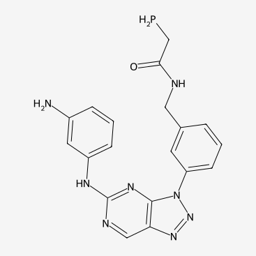 Nc1cccc(Nc2ncc3nnn(-c4cccc(CNC(=O)CP)c4)c3n2)c1